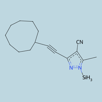 Cc1c(C#N)c(C#CC2CCCCCCCC2)nn1[SiH3]